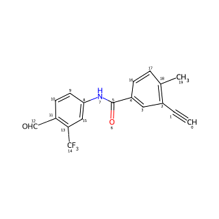 C#Cc1cc(C(=O)Nc2ccc(C=O)c(C(F)(F)F)c2)ccc1C